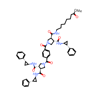 COC(=O)CCCCCCCNC(=O)[C@@H]1CN(C(=O)c2ccc(C(=O)N3C[C@@H](C(=O)N[C@H]4C[C@@H]4c4ccccc4)[C@H](C(=O)N[C@H]4C[C@@H]4c4ccccc4)C3)cc2)C[C@H]1C(=O)N[C@H]1C[C@@H]1c1ccccc1